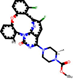 CC(C)c1cccc2oc3cccc(F)c3c3nc4c(cc3F)c(N3CCN(C(=O)OC(C)(C)C)[C@@H](C)C3)nc(=O)n4c12